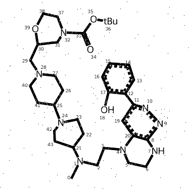 CN(CCN1CCNc2nnc(-c3ccccc3O)cc21)C1CCN(C2CCN(CC3CN(C(=O)OC(C)(C)C)CCO3)CC2)CC1